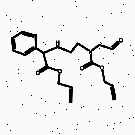 C=CCOC(=O)C(NCCN(CC=O)C(=O)OCC=C)c1ccccc1